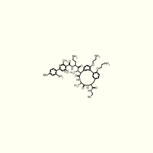 Cc1cc(-c2ccc(C(C)(C)C)cc2N)nc(C)c1C(=O)NC(CCN)C(=O)N(C)C1C(=O)NC(C)C(=O)NC(C(=O)NCC#N)Cc2ccc(OCCN)c(c2)-c2cc1ccc2OCCN